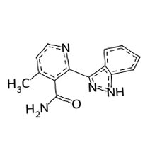 Cc1ccnc(-c2n[nH]c3ccccc23)c1C(N)=O